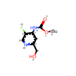 CC(C)(C)OC(=O)Nc1cc(CO)ncc1F